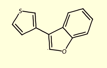 [c]1oc2ccccc2c1-c1ccsc1